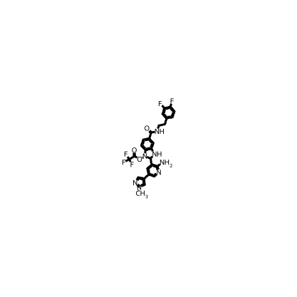 Cn1cc(-c2cnc(N)c(C3Nc4cc(C(=O)NCCc5ccc(F)c(F)c5)ccc4N3OC(=O)C(F)(F)F)c2)cn1